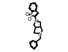 O=S1(=O)C(N2CC3CN(Cc4ccccc4)CC3C2)=Cc2ccccc21